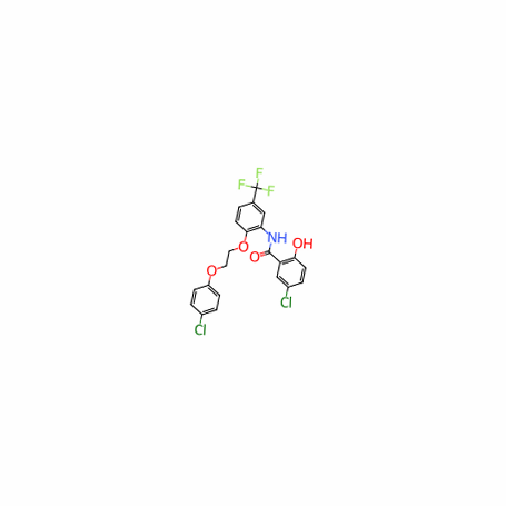 O=C(Nc1cc(C(F)(F)F)ccc1OCCOc1ccc(Cl)cc1)c1cc(Cl)ccc1O